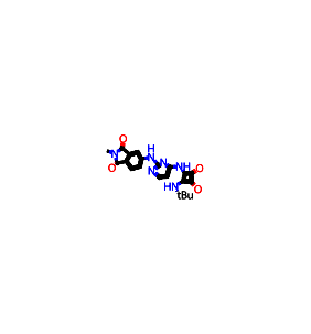 CN1C(=O)c2ccc(Nc3nccc(Nc4c(NC(C)(C)C)c(=O)c4=O)n3)cc2C1=O